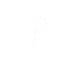 CCn1c(=O)c2c(nc(/C=C/c3ccc(OC(F)F)c(OC(F)F)c3)n2C)n(CC)c1=O.F